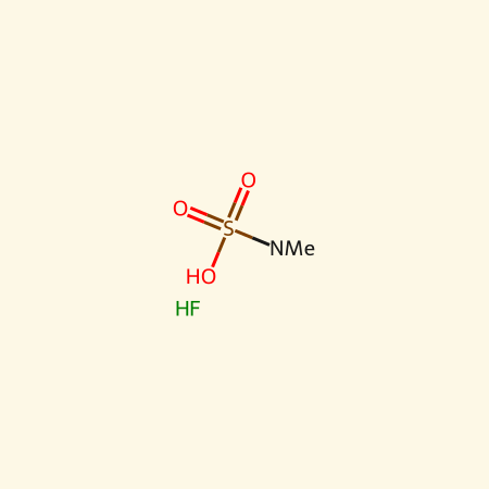 CNS(=O)(=O)O.F